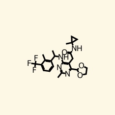 Cc1nc(NC(C)c2cccc(C(F)(F)F)c2C)c(CC(=O)NC2(C)CC2)c(C2OCCO2)n1